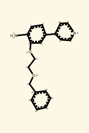 Nc1ccc(-c2ccncc2)cc1OCCOCc1ccccc1